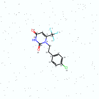 O=c1cc(C(F)(F)F)n(CCc2ccc(Cl)cc2)c(=O)[nH]1